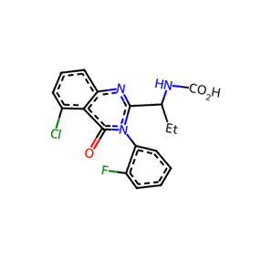 CCC(NC(=O)O)c1nc2cccc(Cl)c2c(=O)n1-c1ccccc1F